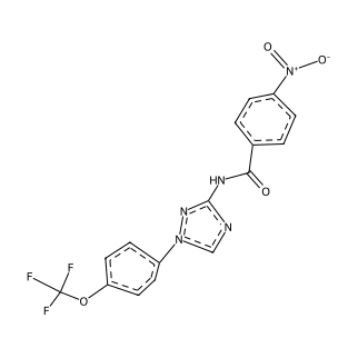 O=C(Nc1ncn(-c2ccc(OC(F)(F)F)cc2)n1)c1ccc([N+](=O)[O-])cc1